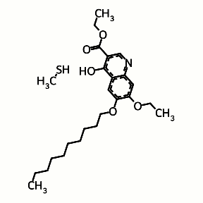 CCCCCCCCCCOc1cc2c(O)c(C(=O)OCC)cnc2cc1OCC.CS